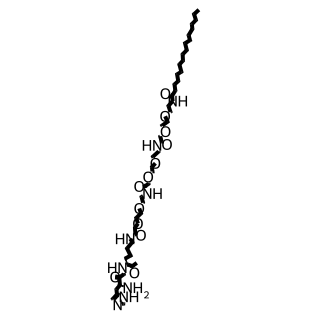 CCCCCCCCCCCCCCCCCC(=O)NCCOCCOCC(=O)NCCOCCOCC(=O)NCCOCCOCC(=O)NCCCC[C@H](NCC(=O)[C@@H](N)Cc1cnc[nH]1)C(C)=O